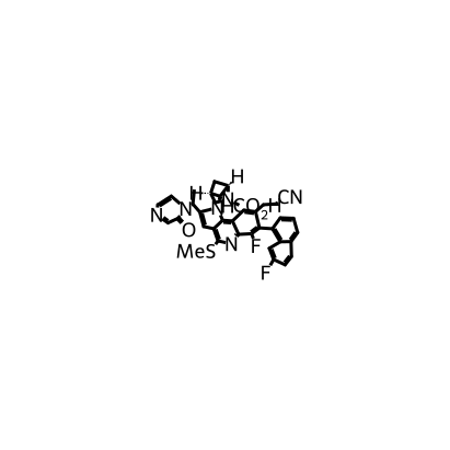 CSc1nc2c(F)c(-c3cccc4ccc(F)cc34)c(CCC#N)cc2c2c1cc(C(C)n1ccncc1=O)n2[C@H]1[C@@H]2C[C@H]1N(C(=O)O)C2